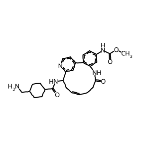 COC(=O)Nc1ccc2c(c1)NC(=O)CCC=CCC(NC(=O)C1CCC(CN)CC1)c1cc-2ccn1